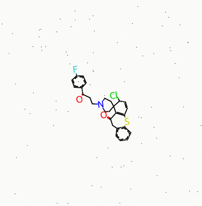 O=C1Cc2ccccc2SC2=C1C1(CCN(CCC(=O)c3ccc(F)cc3)CC1)C(Cl)C=C2